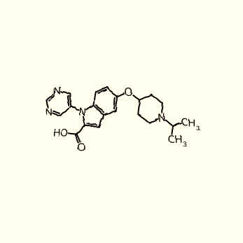 CC(C)N1CCC(Oc2ccc3c(c2)cc(C(=O)O)n3-c2cncnc2)CC1